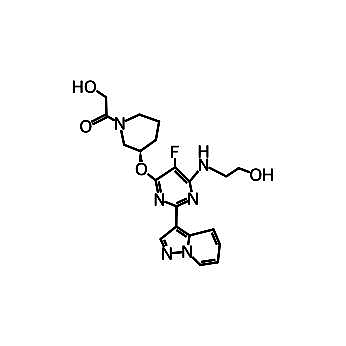 O=C(CO)N1CCC[C@@H](Oc2nc(-c3cnn4ccccc34)nc(NCCO)c2F)C1